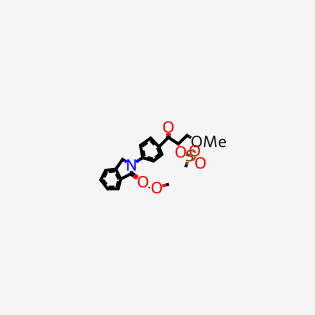 COCC(OS(C)(=O)=O)C(=O)c1ccc(N2Cc3ccccc3C2=O)cc1.C[O]